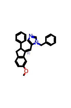 COc1ccc2c(c1)/C(=C/c1cncn1Cc1ccccc1)C(c1ccccc1)C2